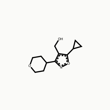 OCc1c(C2CCOCC2)noc1C1CC1